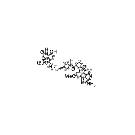 COc1cccc(Nc2c(C(N)=O)cnc3c(C)cc(S(=O)(=O)c4cccc(C(=O)Nc5ccc(C#CCCCN(C)CC(O[Si](C)(C)C(C)(C)C)c6ccc(O)c7[nH]c(=O)ccc67)cc5)c4)cc23)c1